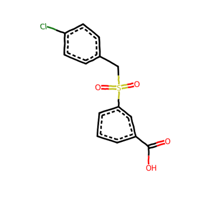 O=C(O)c1cccc(S(=O)(=O)Cc2ccc(Cl)cc2)c1